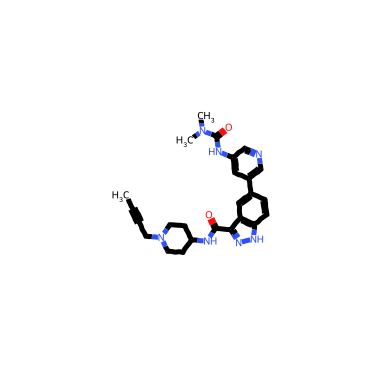 CC#CCN1CCC(NC(=O)c2n[nH]c3ccc(-c4cncc(NC(=O)N(C)C)c4)cc23)CC1